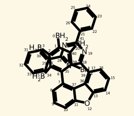 Bc1c(B)c(B)c(-c2cccc3oc4cccc(-c5nc(-c6ccccc6)nc(-c6ccccc6)n5)c4c23)c(B)c1B